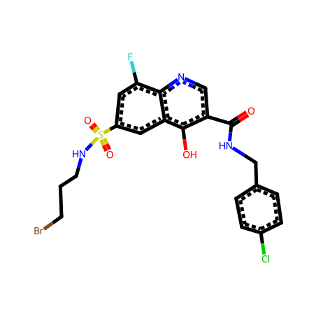 O=C(NCc1ccc(Cl)cc1)c1cnc2c(F)cc(S(=O)(=O)NCCCBr)cc2c1O